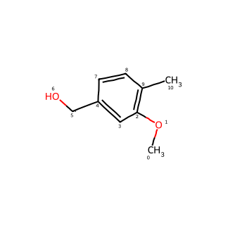 COc1cc([CH]O)ccc1C